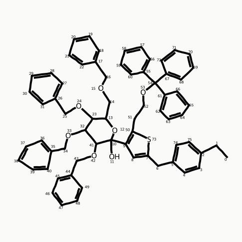 CCc1ccc(Cc2cc(C3(O)OC(COCc4ccccc4)C(OCc4ccccc4)C(OCc4ccccc4)C3OCc3ccccc3)c(CCOC(c3ccccc3)(c3ccccc3)c3ccccc3)s2)cc1